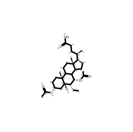 CC[C@H]1[C@@H](OC(C)=O)C2C3CC[C@H]([C@H](C)CCC(=O)O)[C@@]3(C)CCC2[C@@]2(C)CC[C@@H](OC(C)=O)C[C@@H]12